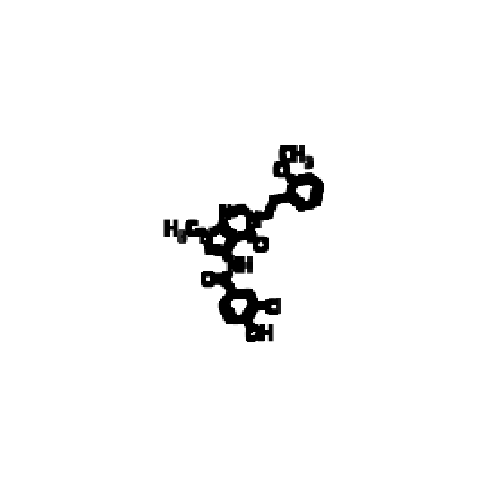 COc1ccccc1CCn1cnc2c(c(NC(=O)c3ccc(O)c(Cl)c3)cn2C)c1=O